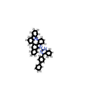 c1ccc(-c2ccc(-c3nc(-n4c5cccc(-n6c7ccccc7c7ccccc76)c5c5ccc6ccccc6c54)nc4ccccc34)cc2)cc1